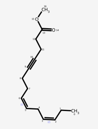 CC/C=C\C/C=C\CCC#CCCC(=O)OC